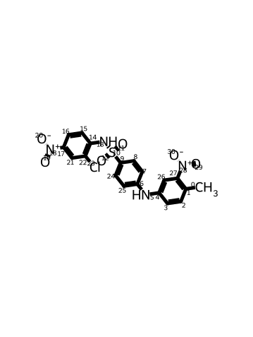 Cc1ccc(Nc2ccc(S(=O)(=O)Nc3ccc([N+](=O)[O-])cc3Cl)cc2)cc1[N+](=O)[O-]